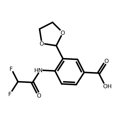 O=C(O)c1ccc(NC(=O)C(F)F)c(C2OCCO2)c1